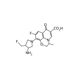 CC1COc2c(N3CC(N)C(CF)C3)c(F)cc3c(=O)c(C(=O)O)cn1c23